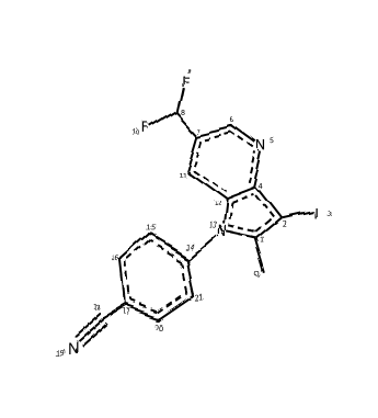 Cc1c(I)c2ncc(C(F)F)cc2n1-c1ccc(C#N)cc1